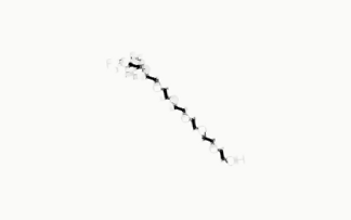 OCCOCCOCCOCCOCCOCCOC(F)(F)C(F)(F)C(F)(F)F